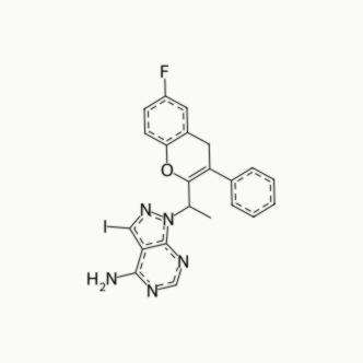 CC(C1=C(c2ccccc2)Cc2cc(F)ccc2O1)n1nc(I)c2c(N)ncnc21